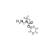 CC(C)(C)N(CN)C(=O)OC1CCCCC1